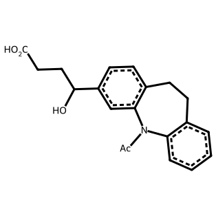 CC(=O)N1c2ccccc2CCc2ccc(C(O)CCC(=O)O)cc21